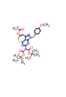 COc1ccc(Cn2nc3c4c(nc(N(C(=O)OC(C)(C)C)C(=O)OC(C)(C)C)nc42)SCC(OC(C)=O)=C3)cc1